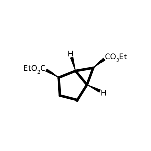 CCOC(=O)[C@H]1[C@@H]2CC[C@@H](C(=O)OCC)[C@@H]21